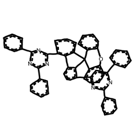 c1ccc(-c2cc(-c3cccc4c3C3(c5ccccc5Oc5ccccc53)c3cccc(-c5nc(-c6ccccc6)nc(-c6ccccc6)n5)c3-4)nc(-c3ccccc3)n2)cc1